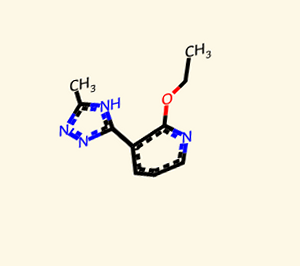 CCOc1ncccc1-c1nnc(C)[nH]1